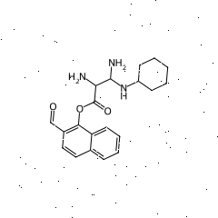 NC(NC1CCCCC1)C(N)C(=O)Oc1c(C=O)ccc2ccccc12